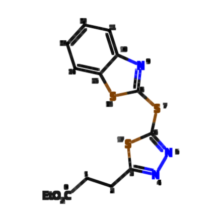 CCOC(=O)CCc1nnc(Sc2nc3ccccc3s2)s1